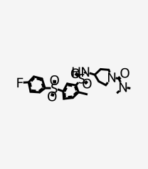 Cc1ccc(S(=O)(=O)c2ccc(F)cc2)cc1S(=O)(=O)NC1CCN(C(=O)N(C)C)CC1